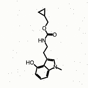 Cn1cc(CCNC(=O)OCC2CC2)c2c(O)cccc21